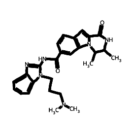 CC1NC(=O)c2cc3ccc(C(=O)Nc4nc5ccccc5n4CCCN(C)C)cc3n2C1C